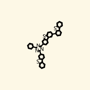 c1ccc(-c2nc(-c3ccc4c(c3)sc3ccccc34)nc(-c3ccc4c(c3)sc3ccc(-c5cccc6c5sc5ccccc56)cc34)n2)cc1